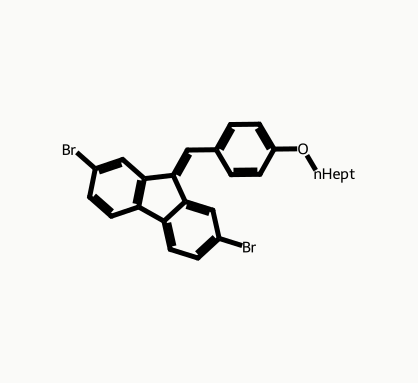 CCCCCCCOc1ccc(C=C2c3cc(Br)ccc3-c3ccc(Br)cc32)cc1